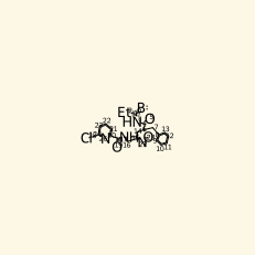 [B][C@H](CC)NC(=O)C1(Cc2ccccc2)CC(CNC(=O)c2cccc(Cl)n2)=NO1